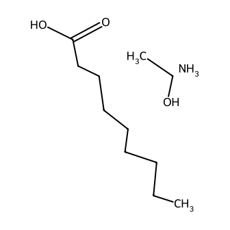 CCCCCCCCC(=O)O.CCO.N